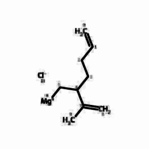 C=CCCC([CH2][Mg+])C(=C)C.[Cl-]